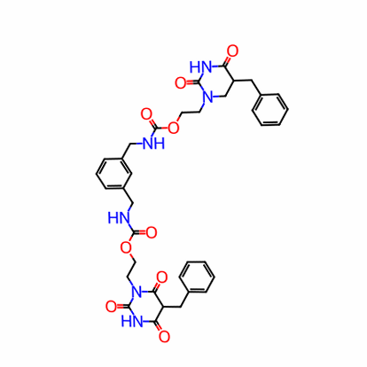 O=C(NCc1cccc(CNC(=O)OCCN2C(=O)NC(=O)C(Cc3ccccc3)C2=O)c1)OCCN1CC(Cc2ccccc2)C(=O)NC1=O